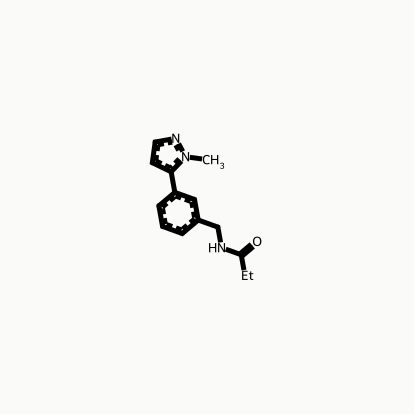 CCC(=O)NCc1cccc(-c2ccnn2C)c1